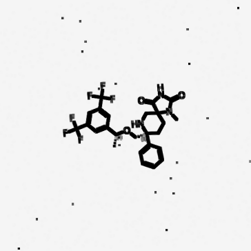 C[C@@H](OC[C@@]1(c2ccccc2)CCC2(CN1)C(=O)NC(=O)N2C)c1cc(C(F)(F)F)cc(C(F)(F)F)c1